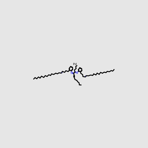 CCCCCCC#CC(=N/c1ccccc1CCC/C=C/CCCCCCCCCCCCCCCC)/C(CCCC)=N/c1ccccc1CCC/C=C/CCCCCCCCCCCCCCCC.[Pd]